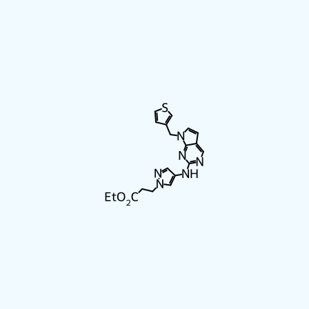 CCOC(=O)CCn1cc(Nc2ncc3ccn(Cc4ccsc4)c3n2)cn1